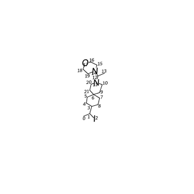 CC(I)C1CCC2(CC1)CCN(C(C)N1CCOCC1)CC2